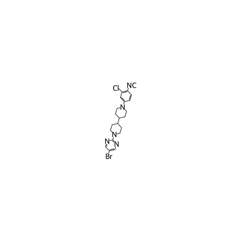 [C-]#[N+]c1ccc(N2CCC(C3CCN(c4ncc(Br)cn4)CC3)CC2)cc1Cl